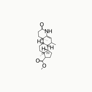 COC(=O)C1CC[C@H]2[C@@H]3C(C)C=C4NC(=O)CC[C@]4(C)[C@@H]3CC[C@]12C